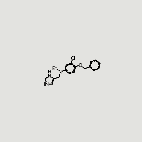 CCN(CC1=CNCN1)c1ccc(OCc2ccccc2)c(Cl)c1